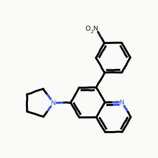 O=[N+]([O-])c1cccc(-c2cc(N3CCCC3)cc3cccnc23)c1